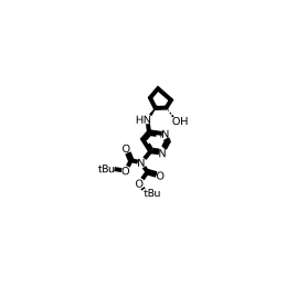 CC(C)(C)OC(=O)N(C(=O)OC(C)(C)C)c1cc(N[C@H]2CCC[C@@H]2O)ncn1